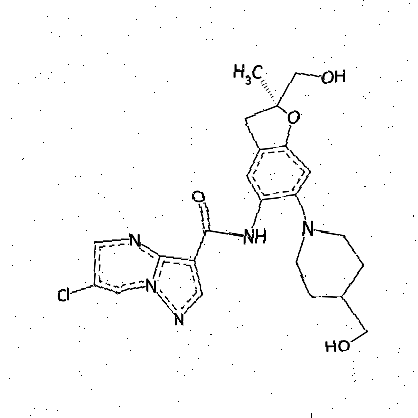 C[C@@]1(CO)Cc2cc(NC(=O)c3cnn4cc(Cl)cnc34)c(N3CCC(CO)CC3)cc2O1